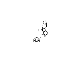 c1cc(CCc2nccc3c4c([nH]c23)CC2CCCN2C4)ncn1